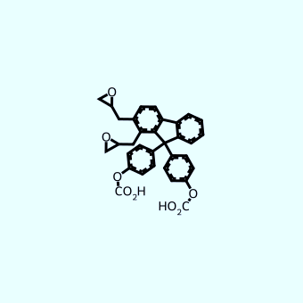 O=C(O)Oc1ccc(C2(c3ccc(OC(=O)O)cc3)c3ccccc3-c3ccc(CC4CO4)c(CC4CO4)c32)cc1